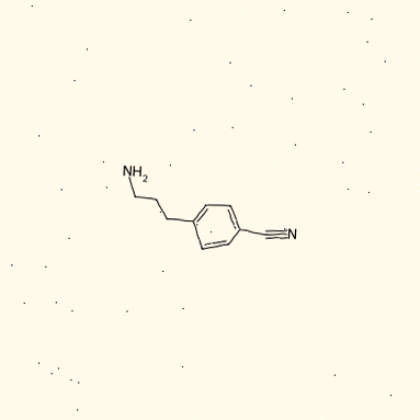 N#Cc1ccc(CCCN)cc1